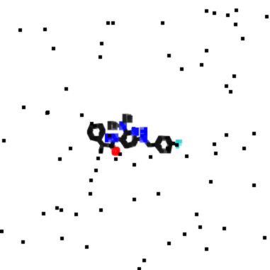 CCN(CC)c1nc(NCc2ccc(F)cc2)ccc1NC(=O)[C@@H](C)c1ccccc1